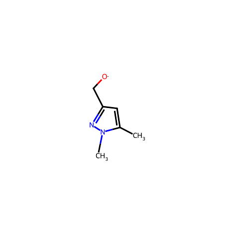 Cc1cc(C[O])nn1C